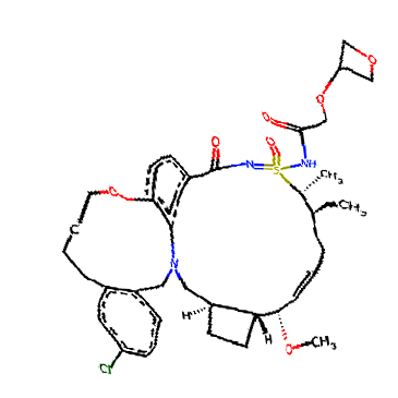 CO[C@H]1/C=C/C[C@H](C)[C@@H](C)S(=O)(NC(=O)COC2COC2)=NC(=O)c2ccc3c(c2)N(Cc2ccc(Cl)cc2CCCCO3)C[C@@H]2CC[C@H]21